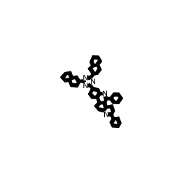 c1ccc(-c2ccc3c(ccc4c5ccc(-c6nc(-c7ccc8ccccc8c7)nc(-c7ccc8ccccc8c7)n6)cc5nc(-c5ccccc5)c34)n2)cc1